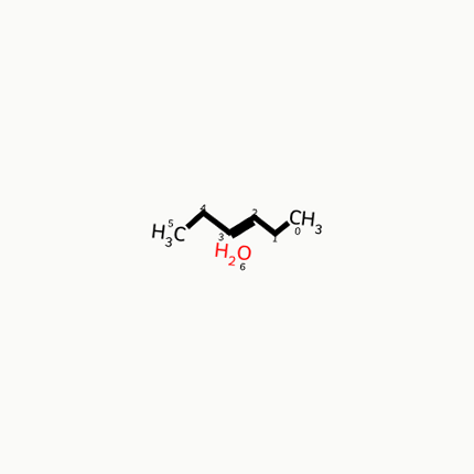 CCC=CCC.O